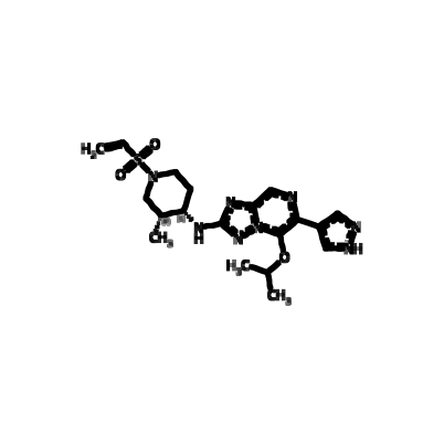 C=CS(=O)(=O)N1CC[C@H](Nc2nc3cnc(-c4cn[nH]c4)c(OC(C)C)n3n2)[C@H](C)C1